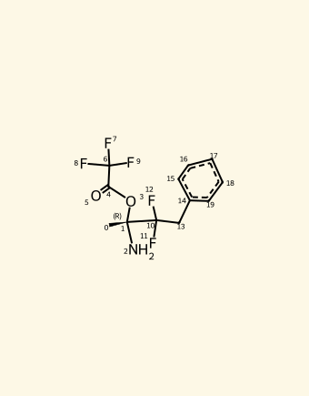 C[C@@](N)(OC(=O)C(F)(F)F)C(F)(F)Cc1ccccc1